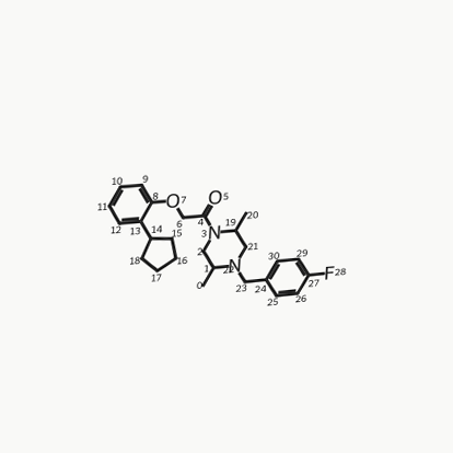 CC1CN(C(=O)COc2ccccc2C2CCCC2)C(C)CN1Cc1ccc(F)cc1